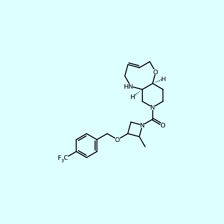 CC1C(OCc2ccc(C(F)(F)F)cc2)CN1C(=O)N1CC[C@@H]2OC/C=C/CN[C@@H]2C1